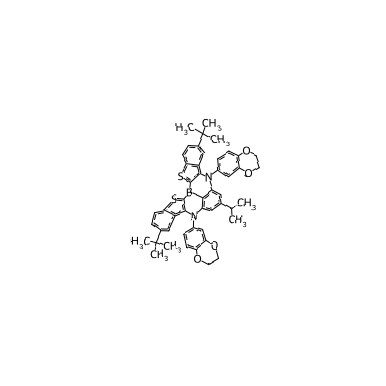 CC(C)c1cc2c3c(c1)N(c1ccc4c(c1)OCCO4)c1c(sc4ccc(C(C)(C)C)cc14)B3c1sc3ccc(C(C)(C)C)cc3c1N2c1ccc2c(c1)OCCO2